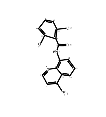 Nc1ccnc2c(NC(=O)c3c(Cl)cccc3Cl)cccc12